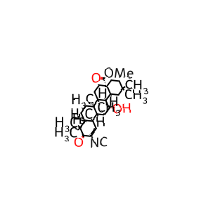 [C-]#[N+]C1=C[C@]2(C)[C@H]3C[C@@H](O)[C@@H]4[C@@H]5CC(C)(C)CC[C@]5(C(=O)OC)CC[C@@]4(C)[C@]3(C)CC[C@H]2C(C)(C)C1=O